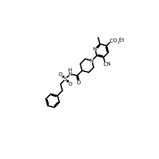 CCOC(=O)c1cc(C#N)c(N2CCC(C(=O)NS(=O)(=O)CCc3ccccc3)CC2)nc1C